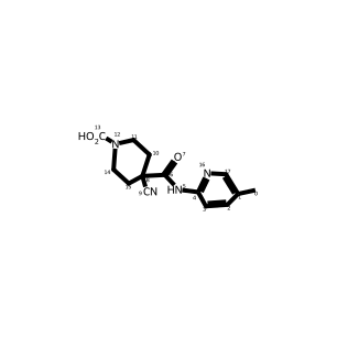 Cc1ccc(NC(=O)C2(C#N)CCN(C(=O)O)CC2)nc1